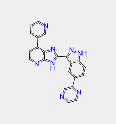 c1cncc(-c2ccnc3[nH]c(-c4n[nH]c5ccc(-c6cnccn6)cc45)nc23)c1